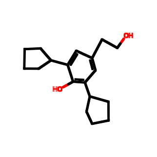 OCCc1cc(C2CCCC2)c(O)c(C2CCCC2)c1